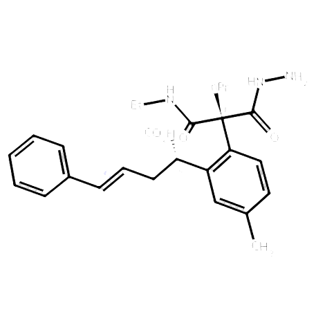 CCC[C@](C(=O)NN)(C(=O)NCC)c1ccc(C)cc1[C@H](C/C=C/c1ccccc1)C(=O)O